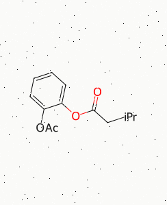 CC(=O)Oc1ccccc1OC(=O)CC(C)C